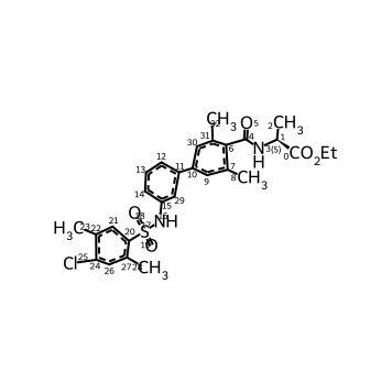 CCOC(=O)[C@H](C)NC(=O)c1c(C)cc(-c2cccc(NS(=O)(=O)c3cc(C)c(Cl)cc3C)c2)cc1C